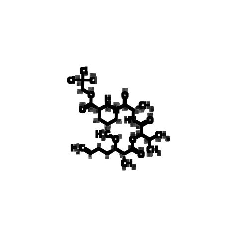 C=CCC[C@@H](OC)[C@@H](C)C(=O)OC(C(=O)N[C@@H](C)C(=O)N1CCC[C@@H](C(=O)OCC(Cl)(Cl)Cl)N1)C(C)C